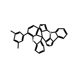 Cc1cc(C)cc(-c2cccc3c2Sc2ccccc2C32c3ccccc3-n3c4ccccc4c4cccc2c43)c1